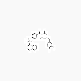 CC1CN(Cc2ccc(I)c(F)c2)CC(C)N1C(=O)c1ccc(NS(=O)(=O)c2cccc3cccnc23)cc1